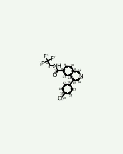 O=C(NCC(F)(F)F)c1ccc2cncc(-c3ccc(Cl)cc3)c2c1